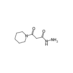 NNC(=O)CC(=O)N1CCCCC1